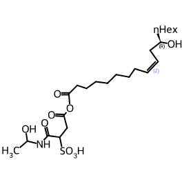 CCCCCC[C@@H](O)C/C=C\CCCCCCCC(=O)OC(=O)CC(C(=O)NC(C)O)S(=O)(=O)O